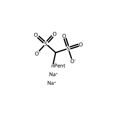 CCCCCC(S(=O)(=O)[O-])S(=O)(=O)[O-].[Na+].[Na+]